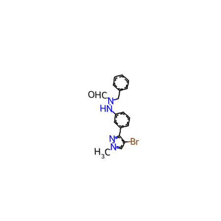 Cn1cc(Br)c(-c2cccc(NN(C=O)Cc3ccccc3)c2)n1